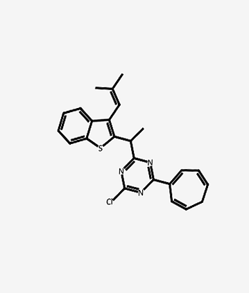 CC(C)=Cc1c(C(C)c2nc(Cl)nc(C3=CC=CCC=C3)n2)sc2ccccc12